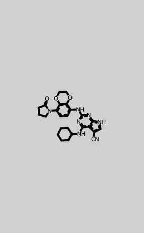 N#Cc1c[nH]c2nc(Nc3ccc(N4CCCC4=O)c4c3OCCO4)nc(NC3CCCCC3)c12